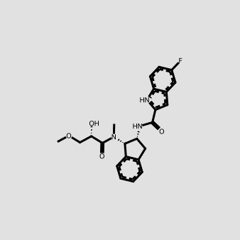 COC[C@H](O)C(=O)N(C)[C@H]1c2ccccc2C[C@H]1NC(=O)c1cc2cc(F)ccc2[nH]1